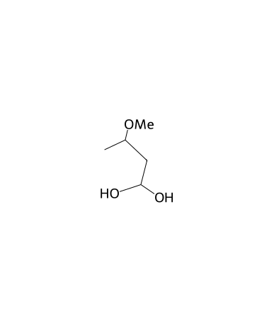 COC(C)CC(O)O